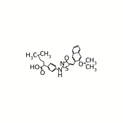 CC(C)CCC(C(=O)O)c1ccc(NC2=NC(=O)C(=Cc3cc4ccccc4cc3OC(C)C)S2)cc1